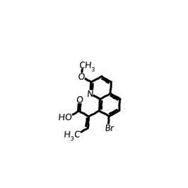 CC=C(C(=O)O)c1c(Br)ccc2ccc(OC)nc12